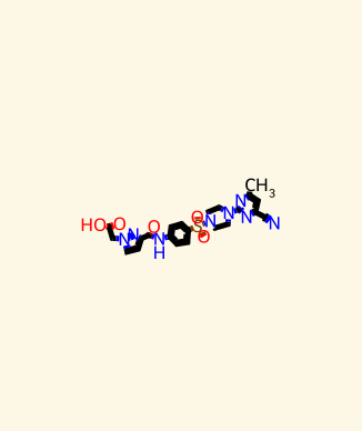 Cc1cc(C#N)nc(N2CCN(S(=O)(=O)c3ccc(NC(=O)c4ccn(CC(=O)O)n4)cc3)CC2)n1